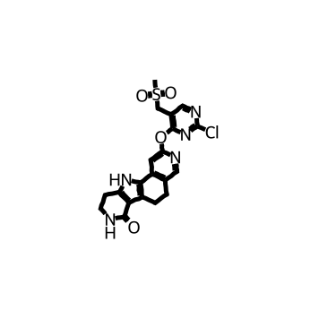 CS(=O)(=O)Cc1cnc(Cl)nc1Oc1cc2c(cn1)CCc1c-2[nH]c2c1C(=O)NCC2